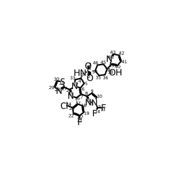 O=S(=O)(N[C@H]1CC2=C(c3ccn(C(F)F)n3)[C@H](c3ccc(F)cc3Cl)N=C(c3nccs3)N2C1)[C@H]1CC[C@](O)(c2ccccn2)CC1